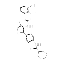 Cc1noc(-c2ccc(NC(=O)C3CCCCC3)cn2)c1NC(=O)O[C@@H](C)c1ccccc1Cl